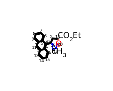 CCOC(=O)C1CC(c2c3ccccc3cc3ccccc23)N(C)O1